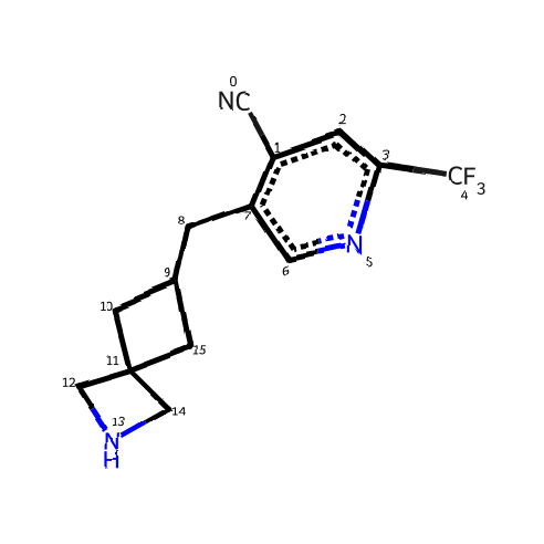 N#Cc1cc(C(F)(F)F)ncc1CC1CC2(CNC2)C1